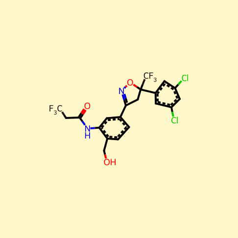 O=C(CC(F)(F)F)Nc1cc(C2=NOC(c3cc(Cl)cc(Cl)c3)(C(F)(F)F)C2)ccc1CO